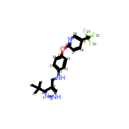 CC(C)(C)c1n[nH]cc1CNc1ccc(Oc2ccc(C(F)(F)F)cn2)cc1